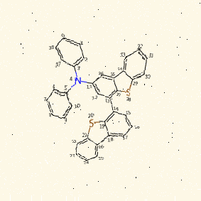 c1ccc(N(c2ccccc2)c2cc(-c3cccc4c3sc3ccccc34)c3sc4ccccc4c3c2)cc1